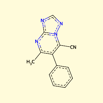 Cc1nc2ncnn2c(C#N)c1-c1ccccc1